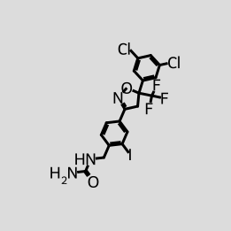 NC(=O)NCc1ccc(C2=NOC(c3cc(Cl)cc(Cl)c3)(C(F)(F)F)C2)cc1I